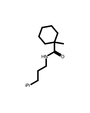 CC(C)CCCNC(=O)C1(C)CCCCC1